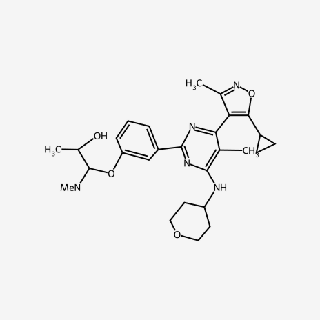 CNC(Oc1cccc(-c2nc(NC3CCOCC3)c(C)c(-c3c(C)noc3C3CC3)n2)c1)C(C)O